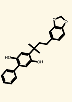 CC(C)(CCc1ccc2c(c1)OCO2)c1cc(O)c(-c2ccccc2)cc1O